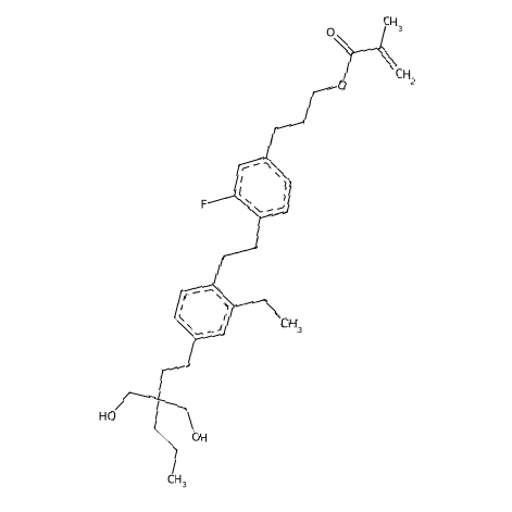 C=C(C)C(=O)OCCCc1ccc(CCc2ccc(CCC(CO)(CO)CCC)cc2CC)c(F)c1